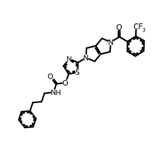 O=C(NCCCc1ccccc1)Oc1cnc(N2CC3=C(CN(C(=O)c4ccccc4C(F)(F)F)C3)C2)s1